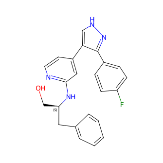 OC[C@H](Cc1ccccc1)Nc1cc(-c2c[nH]nc2-c2ccc(F)cc2)ccn1